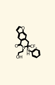 O=C1c2cc3ccoc3cc2CC(Nc2ccccc2)(C(F)(F)F)N1CCO